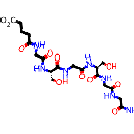 NC(=O)CNC(=O)CNC(=O)[C@H](CO)NC(=O)CNC(=O)[C@H](CO)NC(=O)CNC(=O)CCCC(=O)O